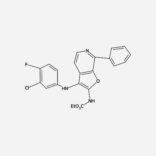 CCOC(=O)Nc1oc2c(-c3ccccc3)nccc2c1Nc1ccc(F)c(Cl)c1